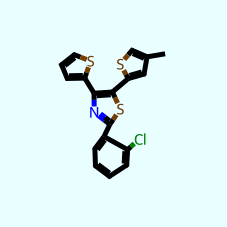 Cc1csc(-c2sc(-c3ccccc3Cl)nc2-c2cccs2)c1